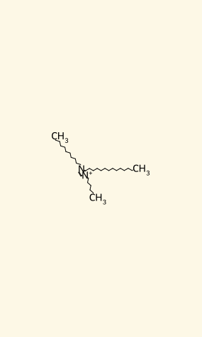 CCCCCCCCCCCCCc1n(CCCCCCCCCCC)cc[n+]1CCCCCC